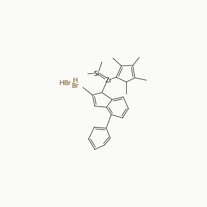 Br.Br.CC1=Cc2c(-c3ccccc3)cccc2[CH]1[Zr]([C]1=C(C)C(C)=C(C)C1C)=[Si](C)C